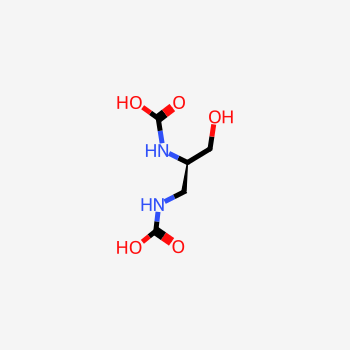 O=C(O)NC[C@H](CO)NC(=O)O